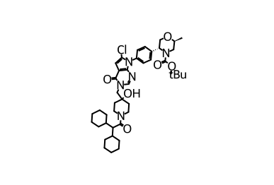 C[C@H]1CN(C(=O)OC(C)(C)C)[C@H](c2ccc(-n3c(Cl)cc4c(=O)n(CC5(O)CCN(C(=O)C(C6CCCCC6)C6CCCCC6)CC5)cnc43)cc2)CO1